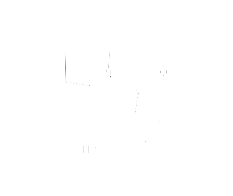 CCC1(C(=O)N2CCCCC2)CC1